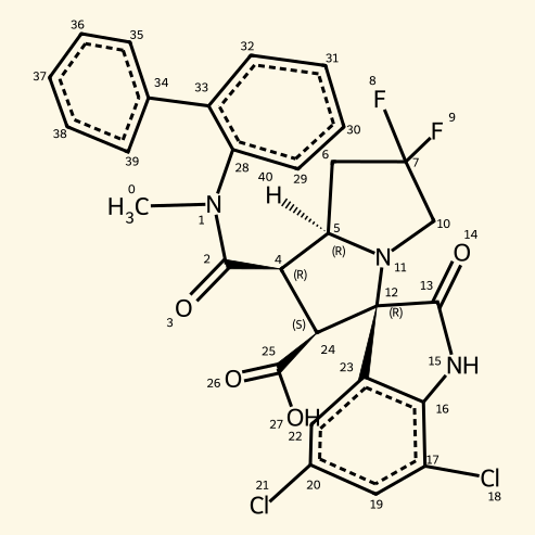 CN(C(=O)[C@H]1[C@H]2CC(F)(F)CN2[C@]2(C(=O)Nc3c(Cl)cc(Cl)cc32)[C@H]1C(=O)O)c1ccccc1-c1ccccc1